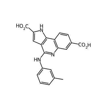 Cc1cccc(Nc2nc3cc(C(=O)O)ccc3c3[nH]c(C(=O)O)cc23)c1